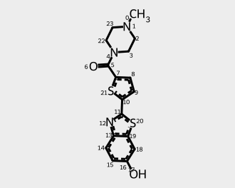 CN1CCN(C(=O)c2ccc(-c3nc4ccc(O)cc4s3)s2)CC1